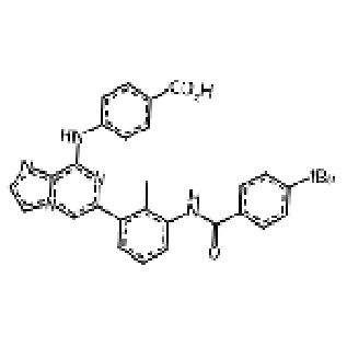 Cc1c(NC(=O)c2ccc(C(C)(C)C)cc2)cccc1-c1cn2ccnc2c(Nc2ccc(C(=O)O)cc2)n1